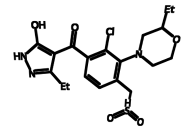 CCc1n[nH]c(O)c1C(=O)c1ccc(C[SH](=O)=O)c(N2CCOC(CC)C2)c1Cl